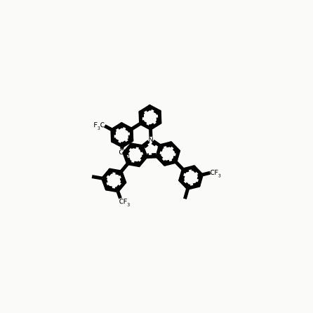 Cc1cc(-c2ccc3c(c2)c2cc(-c4cc(C)cc(C(F)(F)F)c4)ccc2n3-c2ccccc2-c2cc(C(F)(F)F)cc(C(F)(F)F)c2)cc(C(F)(F)F)c1